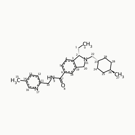 CC[C@H]1c2ccc(C(=O)NCc3ccc(C)cn3)cc2CN1C[C@H]1CC[C@H](C)CC1